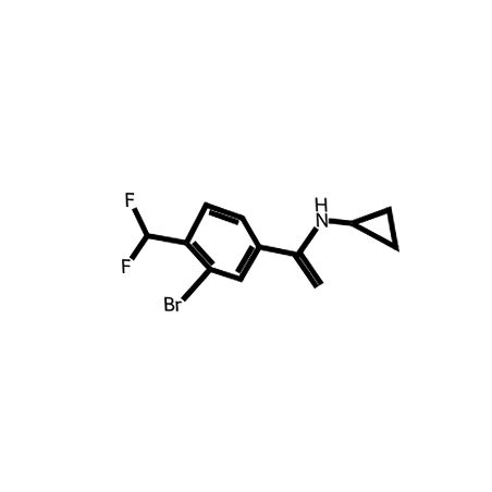 C=C(NC1CC1)c1ccc(C(F)F)c(Br)c1